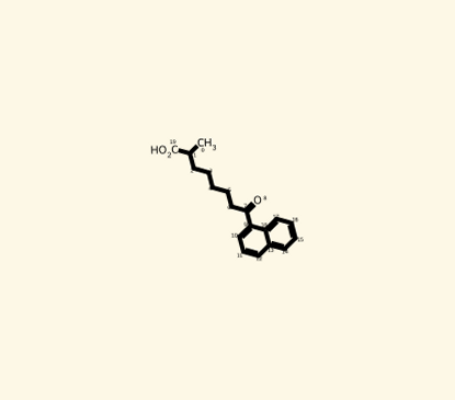 CC(CCCCCC(=O)c1cccc2ccccc12)C(=O)O